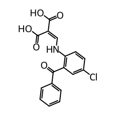 O=C(O)C(=CNc1ccc(Cl)cc1C(=O)c1ccccc1)C(=O)O